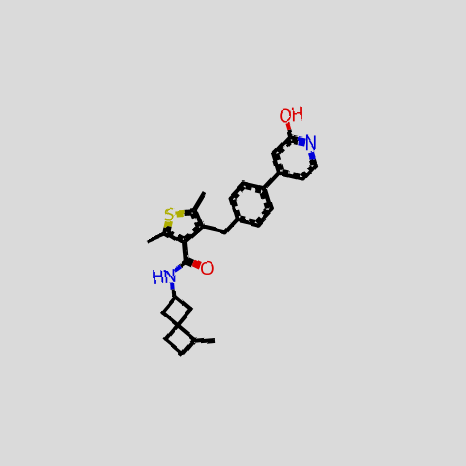 Cc1sc(C)c(C(=O)NC2CC3(CCC3C)C2)c1Cc1ccc(-c2ccnc(O)c2)cc1